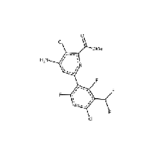 COC(=O)c1nc(-c2c(F)cc(Cl)c(C(F)F)c2F)cc(N)c1Cl